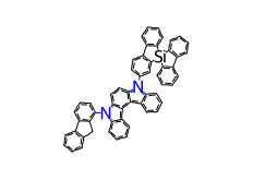 c1ccc2c(c1)Cc1c-2cccc1-n1c2ccccc2c2c3c4ccccc4n(-c4ccc5c(c4)[Si]4(c6ccccc6-c6ccccc64)c4ccccc4-5)c3ccc21